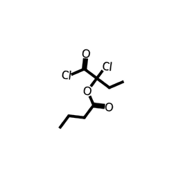 CCCC(=O)OC(Cl)(CC)C(=O)Cl